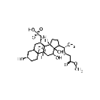 COC(=O)CC[C@@H](C)C1CC[C@H]2C3[C@H](NS(=O)(=O)O)CC4C[C@H](O)CCC4(C)[C@H]3C[C@H](O)C12C